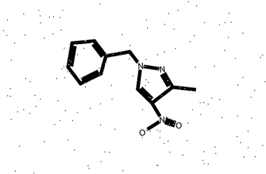 Cc1nn(Cc2ccccc2)cc1[N+](=O)[O-]